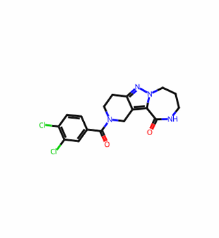 O=C1NCCCn2nc3c(c21)CN(C(=O)c1ccc(Cl)c(Cl)c1)CC3